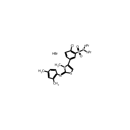 Br.CCCN(CCC)S(=O)(=O)c1cc(-c2cs/c(=N/c3ccc(C)cc3C)n2C)ccc1Cl